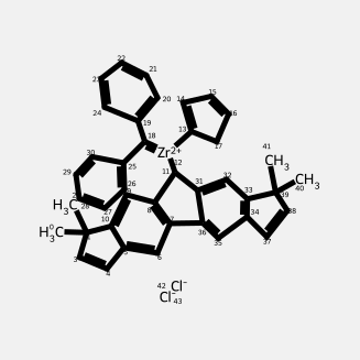 CC1(C)C=Cc2cc3c(cc21)[CH]([Zr+2]([C]1=CC=CC1)=[C](c1ccccc1)c1ccccc1)c1cc2c(cc1-3)C=CC2(C)C.[Cl-].[Cl-]